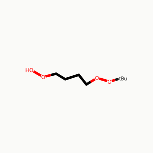 CC(C)(C)OOCCCCOO